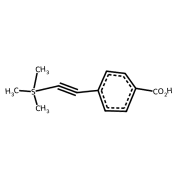 CS(C)(C)C#Cc1ccc(C(=O)O)cc1